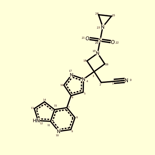 N#CCC1(n2cc(-c3ccnc4[nH]ccc34)cn2)CN(S(=O)(=O)N2CC2)C1